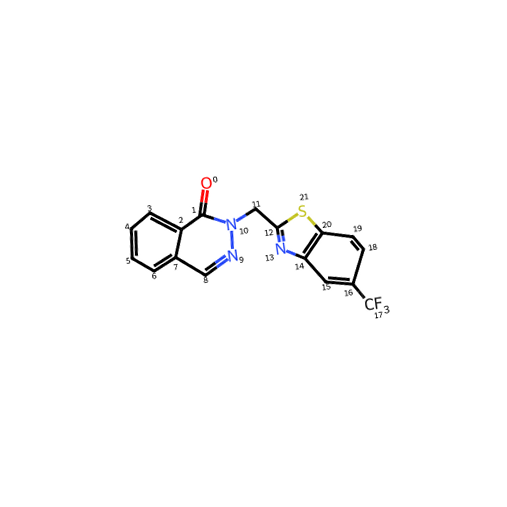 O=c1c2ccccc2cnn1Cc1nc2cc(C(F)(F)F)ccc2s1